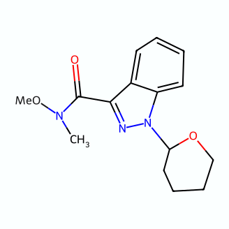 CON(C)C(=O)c1nn(C2CCCCO2)c2ccccc12